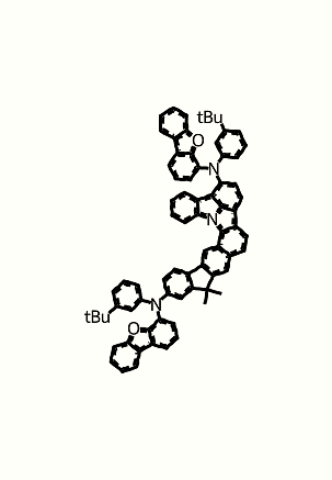 CC(C)(C)c1cccc(N(c2ccc3c(c2)C(C)(C)c2cc4ccc5c6ccc(N(c7cccc(C(C)(C)C)c7)c7cccc8c7oc7ccccc78)c7c8ccccc8n(c5c4cc2-3)c67)c2cccc3c2oc2ccccc23)c1